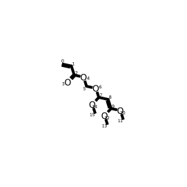 C=CC(=O)OCOC(C=C(OC)OC)OC